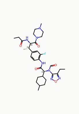 CCC(=O)N[C@@H](C(=O)N1CCN(C)CC1)[C@@H](C)c1ccc(NC(=O)[C@H](C2CCC(C)CC2)N(C=O)c2nonc2CC)c(F)c1